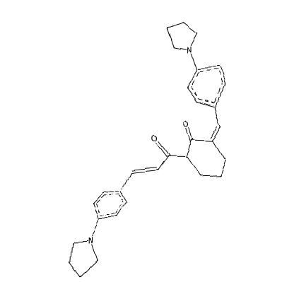 O=C(/C=C/c1ccc(N2CCCC2)cc1)C1CCC/C(=C/c2ccc(N3CCCC3)cc2)C1=O